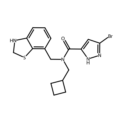 O=C(c1cc(Br)n[nH]1)N(Cc1cccc2c1SCN2)CC1CCC1